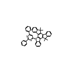 CC1(C)c2ccccc2-c2c1c1c(c3c4ccccc4n(-c4cc(-c5ccccc5)nc(-c5ccccc5)n4)c23)C(C)(C)c2ccccc2-1